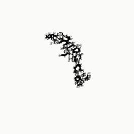 C=CC(=O)Nc1cc(Nc2nc(-c3ccnc(N4CCn5c(cc6c5CC(C)(C)C6)C4=O)c3CO)cn(C)c2=O)ccc1N1CCN(C2CCN(c3ccc(S(=O)(=O)C(C)C)c(OC(F)(F)F)c3)[C@H](C)C2)C[C@@H]1C